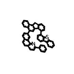 c1ccc(-c2ccc3ccc4ccc(-c5cc6c(c7ccccc57)Cc5cccc(-c7cccc8c7sc7ccccc78)c5-6)cc4c3n2)cc1